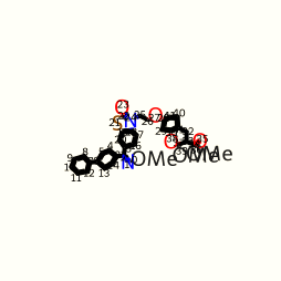 CO/N=C(/c1ccc(-c2ccccc2)cc1)c1ccc2c(c1)sc(=O)n2CCOc1ccc(CC(C(=O)OC)C(=O)OC)cc1